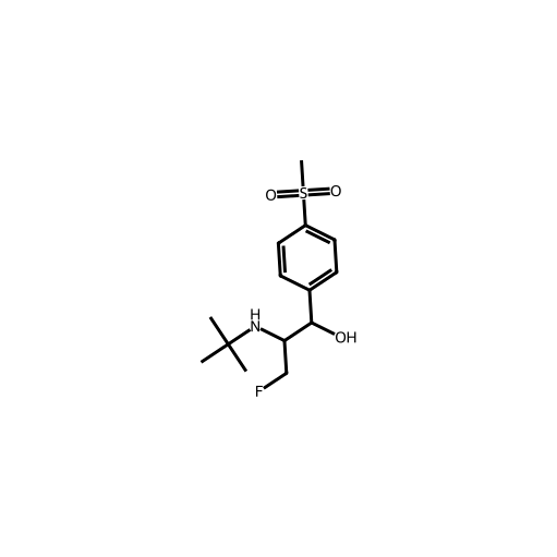 CC(C)(C)NC(CF)C(O)c1ccc(S(C)(=O)=O)cc1